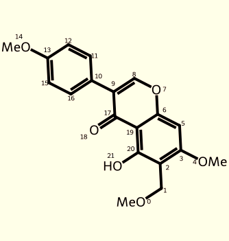 COCc1c(OC)cc2occ(-c3ccc(OC)cc3)c(=O)c2c1O